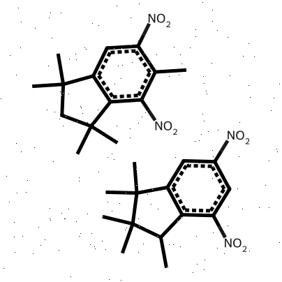 CC1c2c([N+](=O)[O-])cc([N+](=O)[O-])cc2C(C)(C)C1(C)C.Cc1c([N+](=O)[O-])cc2c(c1[N+](=O)[O-])C(C)(C)CC2(C)C